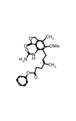 COc1c(C)c2c(c(NC(N)=O)c1C/C=C(\C)CCC(=O)Oc1ccccc1)C(=O)OC2